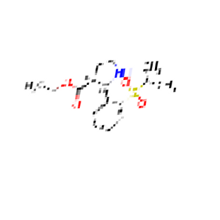 CCOC(=O)[C@H]1CCN[C@H]1c1ccccc1S(=O)(=O)C(C)C